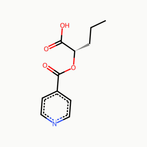 CCC[C@H](OC(=O)c1ccncc1)C(=O)O